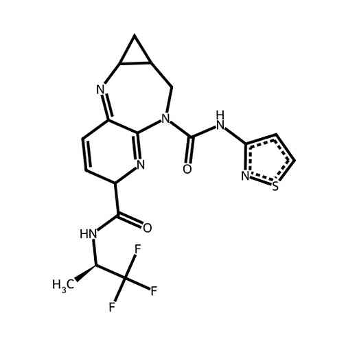 C[C@@H](NC(=O)C1C=CC2=NC3CC3CN(C(=O)Nc3ccsn3)C2=N1)C(F)(F)F